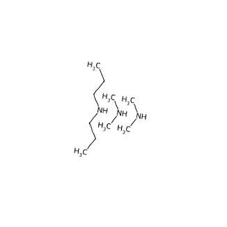 CCCNCCC.CNC.CNC